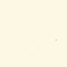 CCCC(c1ccccc1)(c1ccccc1)C(C)(C)O[SiH3]